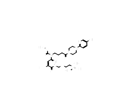 CC(C)(C)OC(=O)N(CCCC(=O)N1CCN(c2ccc(C(F)(F)F)cn2)CC1)c1cc(C(F)(F)F)c(=O)n(COCC[Si](C)(C)C)n1